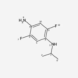 CC(C)Nc1cc(F)c(N)cc1F